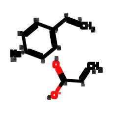 C=CC(=O)[O-].C=Cc1ccccc1.[Na+]